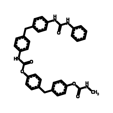 CNC(=O)Oc1ccc(Cc2ccc(OC(=O)Nc3ccc(Cc4ccc(NC(=O)Nc5ccccc5)cc4)cc3)cc2)cc1